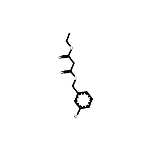 CCOC(=O)CC(=O)OCc1cccc(Cl)c1